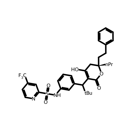 CCC[C@]1(CCc2ccccc2)CC(O)=C(C(c2cccc(NS(=O)(=O)c3cc(C(F)(F)F)ccn3)c2)C(C)(C)C)C(=O)O1